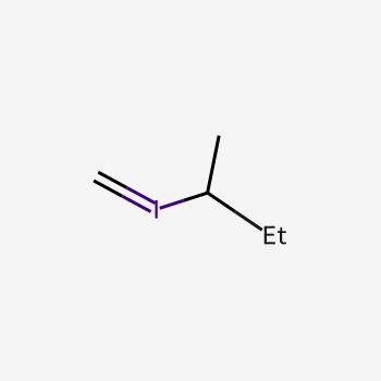 C=IC(C)CC